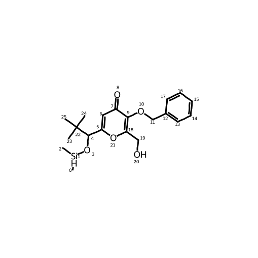 C[SiH](C)OC(c1cc(=O)c(OCc2ccccc2)c(CO)o1)C(C)(C)C